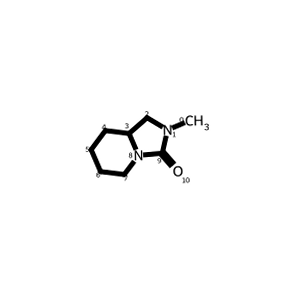 CN1CC2CCCCN2C1=O